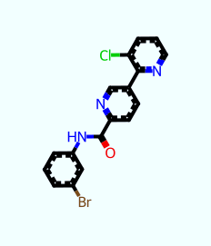 O=C(Nc1cccc(Br)c1)c1ccc(-c2ncccc2Cl)cn1